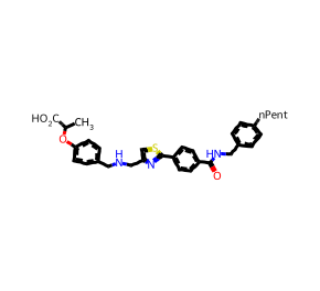 CCCCCc1ccc(CNC(=O)c2ccc(-c3nc(CNCc4ccc(OC(C)C(=O)O)cc4)cs3)cc2)cc1